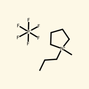 CCC[N+]1(C)CCCC1.F[P-](F)(F)(F)(F)F